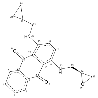 O=C1c2ccccc2C(=O)c2c(NC[C@H]3CO3)ccc(NCC3CC3)c21